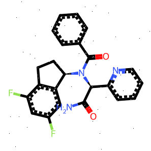 NC(=O)[C@H](c1ccccn1)N(C(=O)c1ccccc1)[C@@H]1CCc2c(F)cc(F)cc21